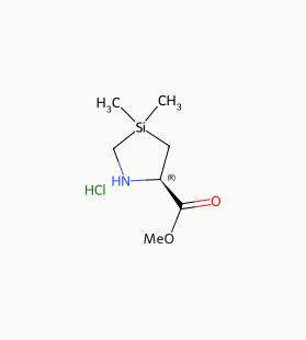 COC(=O)[C@@H]1C[Si](C)(C)CN1.Cl